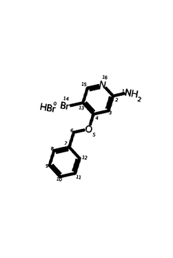 Br.Nc1cc(OCc2ccccc2)c(Br)cn1